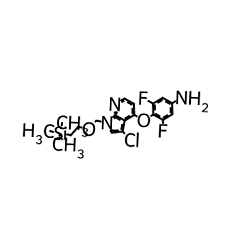 C[Si](C)(C)CCOCn1cc(Cl)c2c(Oc3c(F)cc(N)cc3F)ccnc21